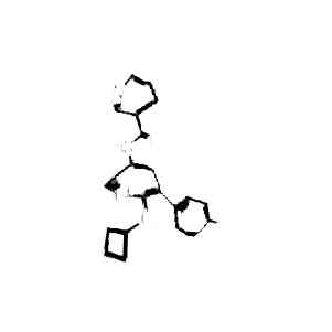 O=C(Nc1cnc(OC2CCC2)c(-c2ccc(Cl)cc2)c1)c1cccnc1